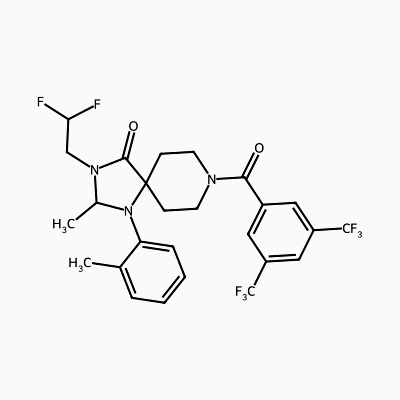 Cc1ccccc1N1C(C)N(CC(F)F)C(=O)C12CCN(C(=O)c1cc(C(F)(F)F)cc(C(F)(F)F)c1)CC2